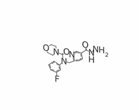 NNC(=O)c1ccc(CN(C(=O)N2CCOCC2)c2cccc(F)c2)nc1